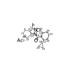 CC(=O)[C@@H]1CCc2c(I)nn(C(=O)c3c(Cl)cccc3C3CC3)c2C1